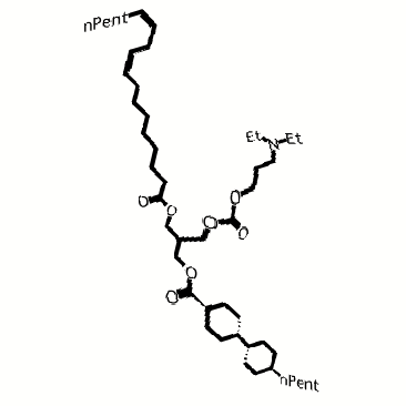 CCCCC/C=C\C/C=C\CCCCCCCC(=O)OCC(COC(=O)OCCCN(CC)CC)COC(=O)[C@H]1CC[C@H]([C@H]2CC[C@H](CCCCC)CC2)CC1